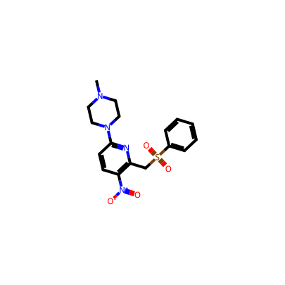 CN1CCN(c2ccc([N+](=O)[O-])c(CS(=O)(=O)c3ccccc3)n2)CC1